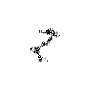 Cc1cc(C)c(CNC(=O)c2cc(-c3ccc(N4CCN(CCNC(=O)COCCOCC(=O)N[C@H](C(=O)N5C[C@H](O)C[C@H]5C(=O)NCc5ccc(-c6scnc6C)cc5)C(C)(C)C)CC4)nc3)cc(NC(C)C)c2C=N)c(=O)[nH]1